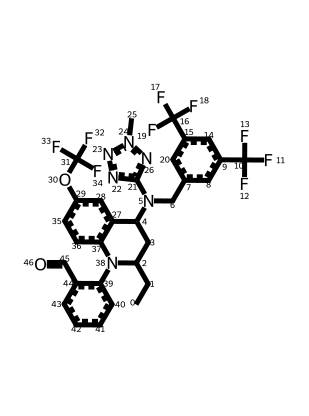 CCC1CC(N(Cc2cc(C(F)(F)F)cc(C(F)(F)F)c2)c2nnn(C)n2)c2cc(OC(F)(F)F)ccc2N1c1ccccc1C=O